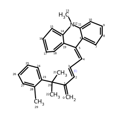 C=C(/C=C/C=C1c2ccccc2N(C)c2ccccc21)C(C)(C)c1ccccc1C